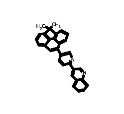 CC1(C)c2cccc3cc(-c4ccc(-c5cnc6ccccc6c5)nc4)c4cccc1c4c23